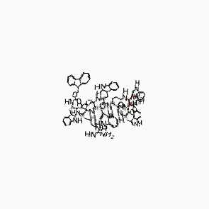 N=C(N)NCCC[C@H](NC(=O)[C@H](Cc1c[nH]c2ccccc12)NC(=O)OCC1c2ccccc2-c2ccccc21)C(=O)N[C@@H](Cc1c[nH]c2ccccc12)C(=O)N[C@@H](Cc1c[nH]c2ccccc12)C(=O)N[C@@H](CCCNC(=N)N)C(=O)N[C@@H](Cc1c[nH]c2ccccc12)C(=O)N[C@@H](Cc1c[nH]c2ccccc12)C(=O)O